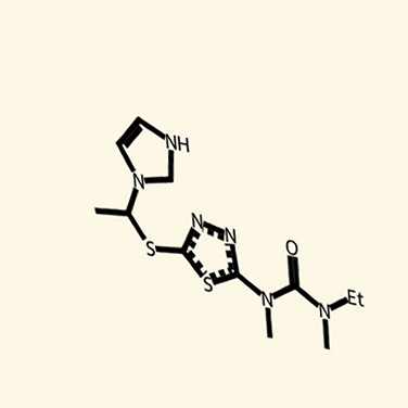 CCN(C)C(=O)N(C)c1nnc(SC(C)N2C=CNC2)s1